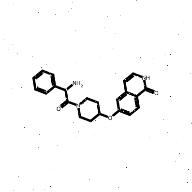 NC(C(=O)N1CCC(Oc2ccc3c(=O)[nH]ccc3c2)CC1)c1ccccc1